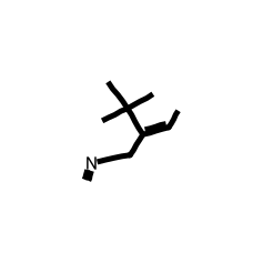 C=NC/C(=C/C)C(C)(C)C